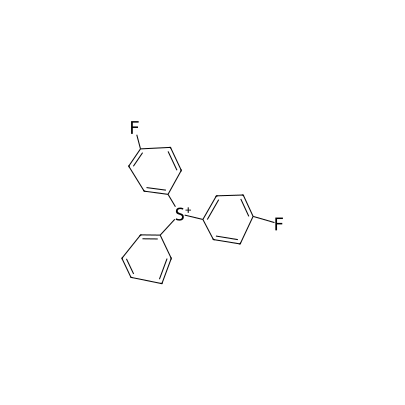 Fc1ccc([S+](c2ccccc2)c2ccc(F)cc2)cc1